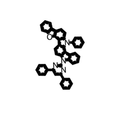 c1ccc(-c2cc(-c3ccccc3)nc(-n3c4ccccc4c4c3ccc3c5c6oc7ccccc7c6ccc5n(-c5ccccc5)c34)n2)cc1